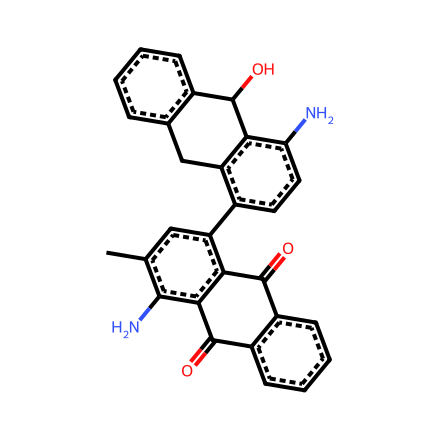 Cc1cc(-c2ccc(N)c3c2Cc2ccccc2C3O)c2c(c1N)C(=O)c1ccccc1C2=O